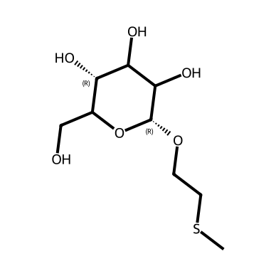 CSCCO[C@@H]1OC(CO)[C@H](O)C(O)C1O